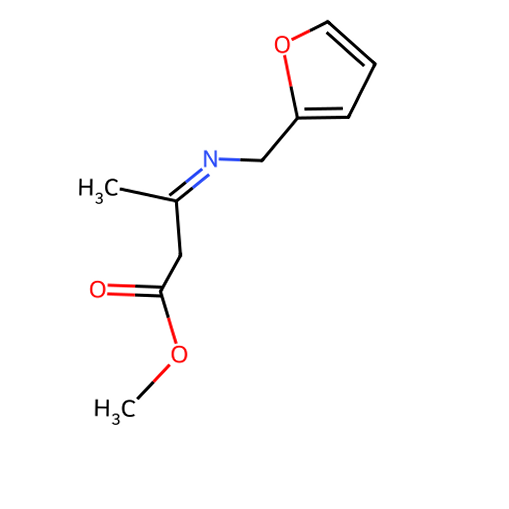 COC(=O)CC(C)=NCc1ccco1